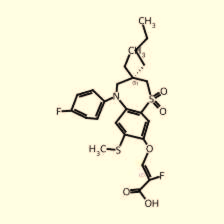 CCCC[C@@]1(CC)CN(c2ccc(F)cc2)c2cc(SC)c(O/C=C(\F)C(=O)O)cc2S(=O)(=O)C1